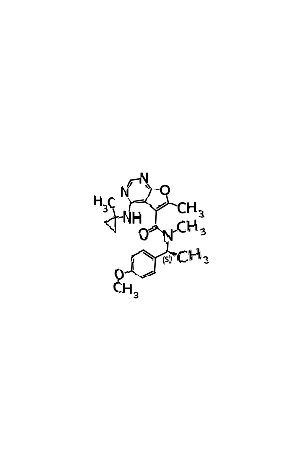 COc1ccc([C@H](C)N(C)C(=O)c2c(C)oc3ncnc(NC4(C)CC4)c23)cc1